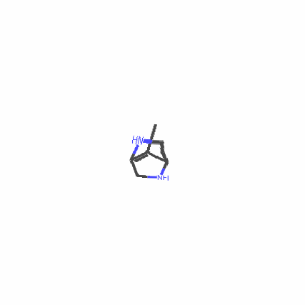 CC1=C2CNC1CN2